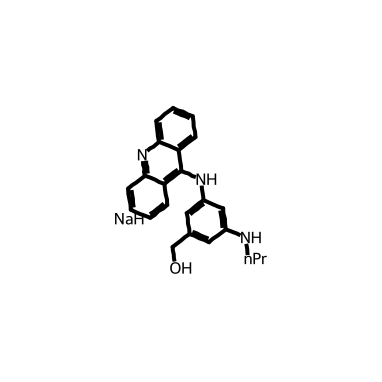 [CH2]CCNc1cc(CO)cc(Nc2c3ccccc3nc3ccccc23)c1.[NaH]